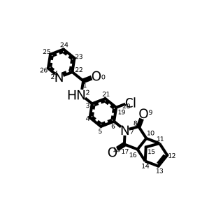 O=C(Nc1ccc(N2C(=O)C3C4C=CC(C4)C3C2=O)c(Cl)c1)c1ccccn1